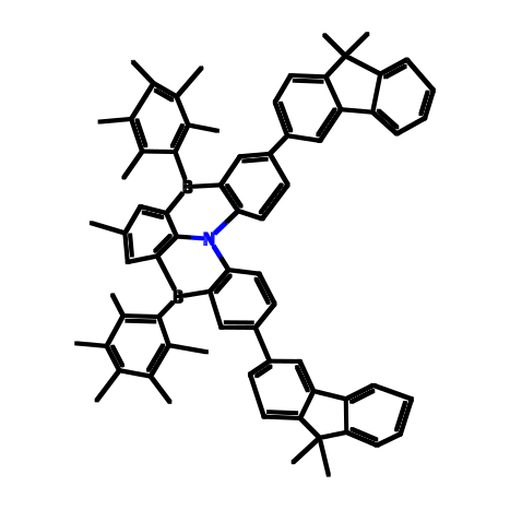 Cc1cc2c3c(c1)B(c1c(C)c(C)c(C)c(C)c1C)c1cc(-c4ccc5c(c4)-c4ccccc4C5(C)C)ccc1N3c1ccc(-c3ccc4c(c3)-c3ccccc3C4(C)C)cc1B2c1c(C)c(C)c(C)c(C)c1C